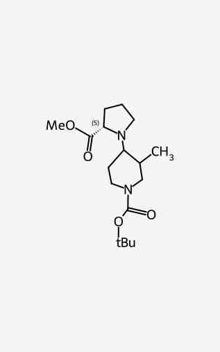 COC(=O)[C@@H]1CCCN1C1CCN(C(=O)OC(C)(C)C)CC1C